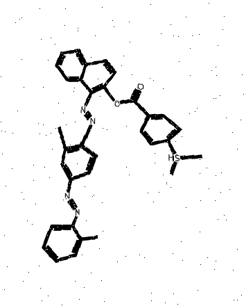 Cc1ccccc1/N=N/c1ccc(/N=N/c2c(OC(=O)c3ccc([SH](C)C)cc3)ccc3ccccc23)c(C)c1